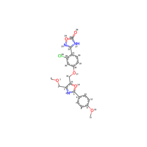 COCc1nc(-c2ccc(OC)cc2)oc1COc1ccc(-c2noc(=O)[nH]2)c(Cl)c1